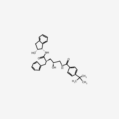 CC(C)(C)c1ccc(C(=O)NC[C@@H](O)C[C@@H](Cc2ccccc2)C(=O)N[C@H]2c3ccccc3C[C@H]2O)cc1